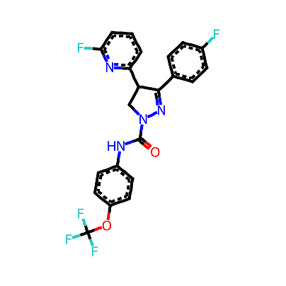 O=C(Nc1ccc(OC(F)(F)F)cc1)N1CC(c2cccc(F)n2)C(c2ccc(F)cc2)=N1